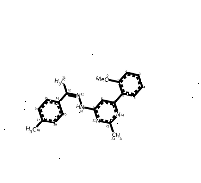 COc1ccccc1-c1cc(N/N=C(/C)c2ccc(C)cc2)nc(C)n1